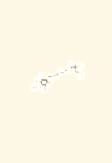 O=NN(CCCl)C(=O)OCCSSCCCc1c(F)c(F)c(O)c(F)c1F